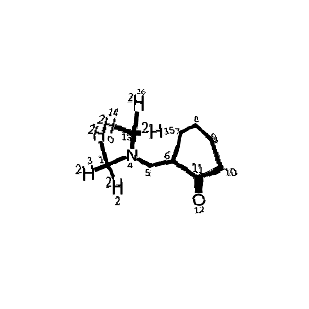 [2H]C([2H])([2H])N(CC1CCCCC1=O)C([2H])([2H])[2H]